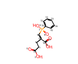 O=C(O)CCC(=CP(=O)(O)c1ccccc1)C(=O)O